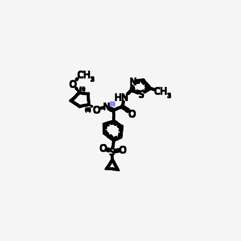 CO[C@@H]1CC[C@@H](O/N=C(/C(=O)Nc2ncc(C)s2)c2ccc(S(=O)(=O)C3CC3)cc2)C1